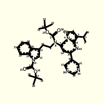 CC(C)c1cnn2c(N(CCc3cn(C(=O)OC(C)(C)C)c4ccccc34)C(=O)OC(C)(C)C)cc(-c3cncnc3)nc12